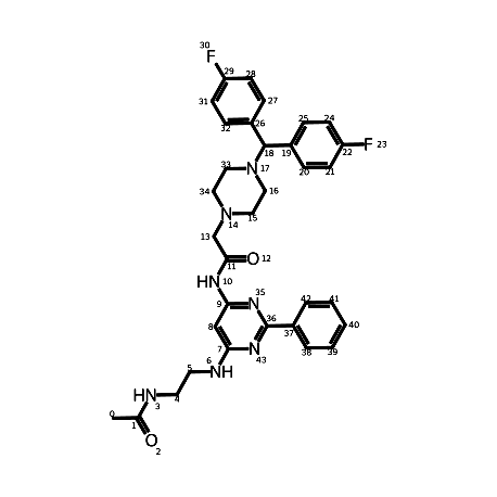 CC(=O)NCCNc1cc(NC(=O)CN2CCN(C(c3ccc(F)cc3)c3ccc(F)cc3)CC2)nc(-c2ccccc2)n1